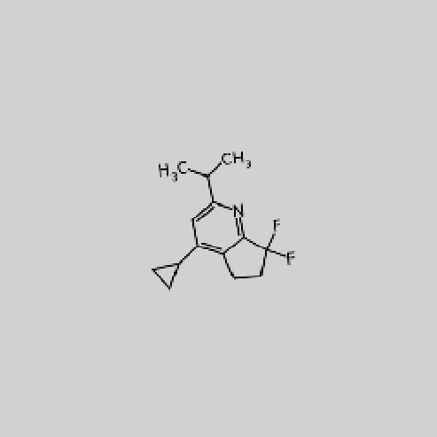 CC(C)c1cc(C2CC2)c2c(n1)C(F)(F)CC2